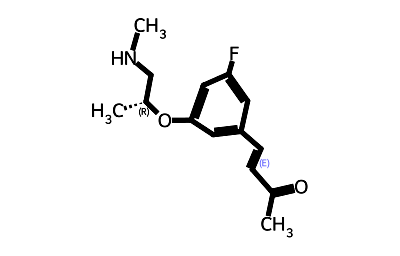 CNC[C@@H](C)Oc1cc(F)cc(/C=C/C(C)=O)c1